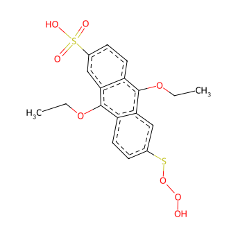 CCOc1c2ccc(S(=O)(=O)O)cc2c(OCC)c2ccc(SOOO)cc12